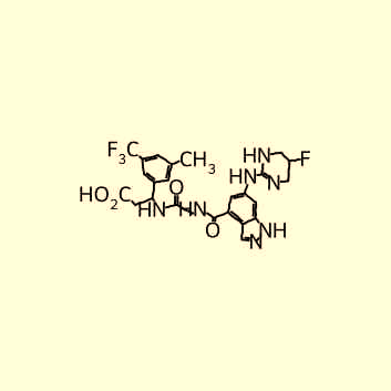 Cc1cc(C(CC(=O)O)NC(=O)CNC(=O)c2cc(NC3=NCC(F)CN3)cc3[nH]ncc23)cc(C(F)(F)F)c1